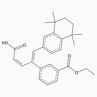 CCOC(=O)c1cccc(C(/C=C\C(=O)O)=C\c2ccc3c(c2)C(C)(C)CCC3(C)C)c1